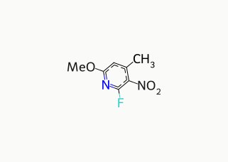 COc1cc(C)c([N+](=O)[O-])c(F)n1